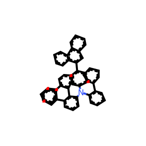 c1ccc(-c2ccccc2-c2c(-c3ccccc3)cccc2N(c2ccc(-c3cc4ccccc4c4ccccc34)cc2)c2ccccc2-c2ccccc2)cc1